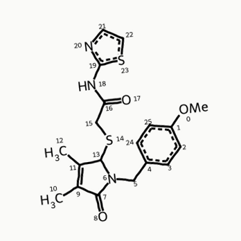 COc1ccc(CN2C(=O)C(C)=C(C)C2SCC(=O)Nc2nccs2)cc1